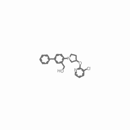 OCc1cc(-c2ccccc2)ccc1N1CCC(Oc2ncccc2Cl)C1